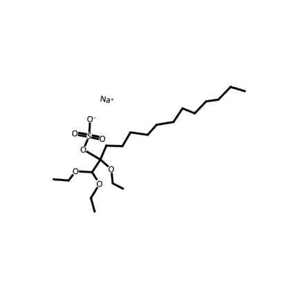 CCCCCCCCCCCCC(OCC)(OS(=O)(=O)[O-])C(OCC)OCC.[Na+]